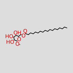 CCCCCCCCCCCCCCCCCC(=O)OCC1O[C@H](OC)C(O)C(O)[C@@H]1O